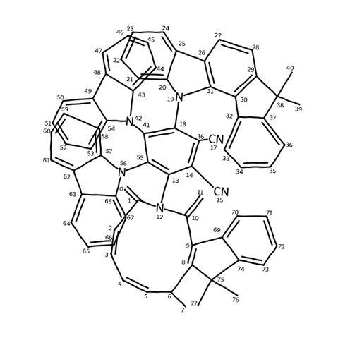 C=C1/C=C\C=C/C(C)C2=C(C(=C)N1c1c(C#N)c(C#N)c(-n3c4ccccc4c4ccc5c(c43)-c3ccccc3C5(C)C)c(-n3c4ccccc4c4ccccc43)c1-n1c3ccccc3c3ccccc31)c1ccccc1C2(C)C